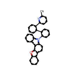 N#Cc1cccc(-c2ccccc2-c2ccccc2-n2c3ccccc3c3c4oc5ccccc5c4ccc32)n1